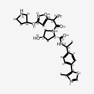 Cc1ncsc1-c1ccc(C(C)NC(=O)[C@@H]2C[C@@H](O)CN2C(=O)C(c2cc(OC3CCNC3)no2)C(C)C)cc1